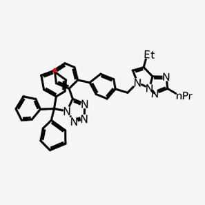 CCCc1nc2c(CC)cn(Cc3ccc(-c4ccccc4-c4nnnn4C(c4ccccc4)(c4ccccc4)c4ccccc4)cc3)n2n1